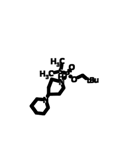 C[SH](C)P(=O)(OCC(C)(C)C)N1CCC(N2CCCCC2)CC1